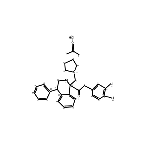 CC(C)=O.Cl.O=C(Cc1ccc(Cl)c(Cl)c1)C1(CN2CCCC2)NCC(c2ccccc2)c2ccccc21